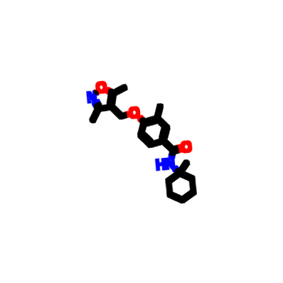 Cc1cc(C(=O)NC2(C)CCCCC2)ccc1OCc1c(C)noc1C